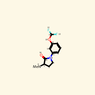 CNC1CCN(c2cccc(OC(F)F)c2)C1=O